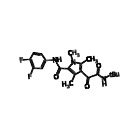 Cc1c(C(=O)C(=O)NC(C)(C)C)c(C)n(C)c1C(=O)Nc1ccc(F)c(F)c1